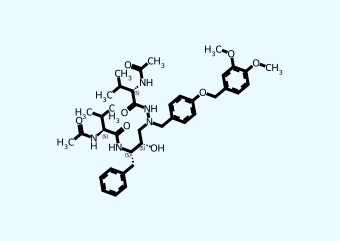 COc1ccc(COc2ccc(CN(C[C@H](O)[C@H](Cc3ccccc3)NC(=O)[C@@H](NC(C)=O)C(C)C)NC(=O)[C@@H](NC(C)=O)C(C)C)cc2)cc1OC